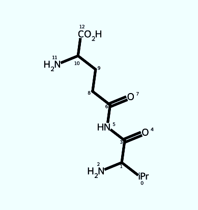 CC(C)C(N)C(=O)NC(=O)CCC(N)C(=O)O